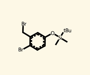 CC(C)(C)[Si](C)(C)Oc1ccc(Br)c(CBr)c1